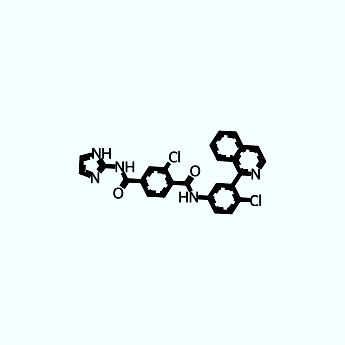 O=C(Nc1ncc[nH]1)c1ccc(C(=O)Nc2ccc(Cl)c(-c3nccc4ccccc34)c2)c(Cl)c1